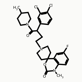 CC1CCN(C(=O)C(CCN2CCC3(CC2)OC(=O)N(C)c2ccc(F)cc23)c2ccc(Cl)c(Cl)c2)CC1